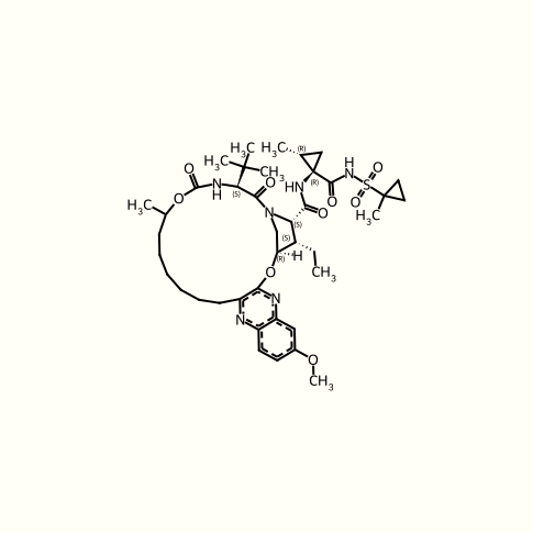 CC[C@@H]1[C@@H]2CN(C(=O)[C@H](C(C)(C)C)NC(=O)OC(C)CCCCCCc3nc4ccc(OC)cc4nc3O2)[C@@H]1C(=O)N[C@]1(C(=O)NS(=O)(=O)C2(C)CC2)C[C@H]1C